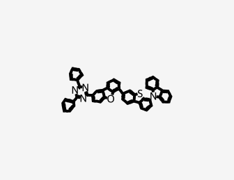 c1ccc(-c2nc(-c3ccccc3)nc(-c3ccc4oc5c(-c6ccc7c(c6)sc6c(-n8c9ccccc9c9ccccc98)cccc67)cccc5c4c3)n2)cc1